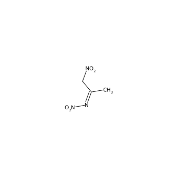 C/C(C[N+](=O)[O-])=N/[N+](=O)[O-]